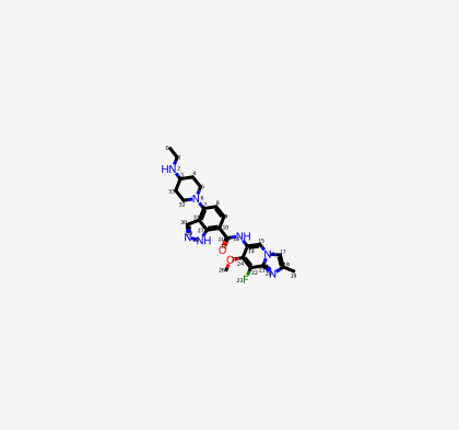 CCNC1CCN(c2ccc(C(=O)Nc3cn4cc(C)nc4c(F)c3OC)c3[nH]ncc23)CC1